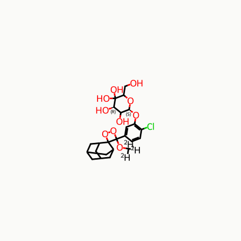 [2H]C([2H])([2H])OC1(c2ccc(Cl)c(O[C@@H]3OC(CO)C(O)(O)[C@H](O)C3O)c2)OOC12C1CC3CC(C1)CC2C3